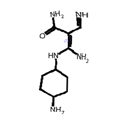 N=C/C(C(N)=O)=C(\N)NC1CCC(N)CC1